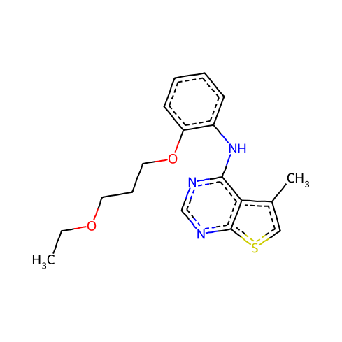 CCOCCCOc1ccccc1Nc1ncnc2scc(C)c12